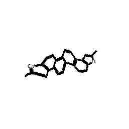 Cc1cc2c(ccc3c2ccc2c4ccc5oc(C)cc5c4ccc32)o1